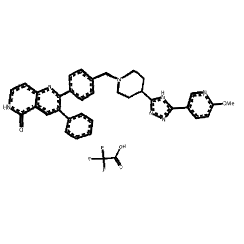 COc1ccc(-c2nnc(C3CCN(Cc4ccc(-c5nc6cc[nH]c(=O)c6cc5-c5ccccc5)cc4)CC3)[nH]2)cn1.O=C(O)C(F)(F)F